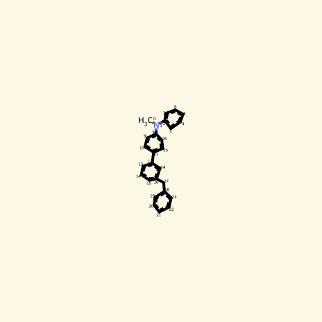 CN(c1ccccc1)c1ccc(-c2cccc(Cc3ccccc3)c2)cc1